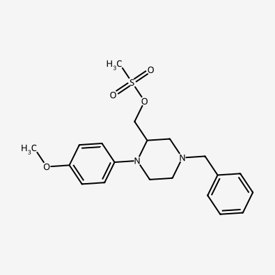 COc1ccc(N2CCN(Cc3ccccc3)CC2COS(C)(=O)=O)cc1